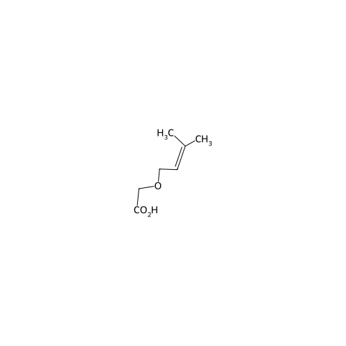 CC(C)=CCOCC(=O)O